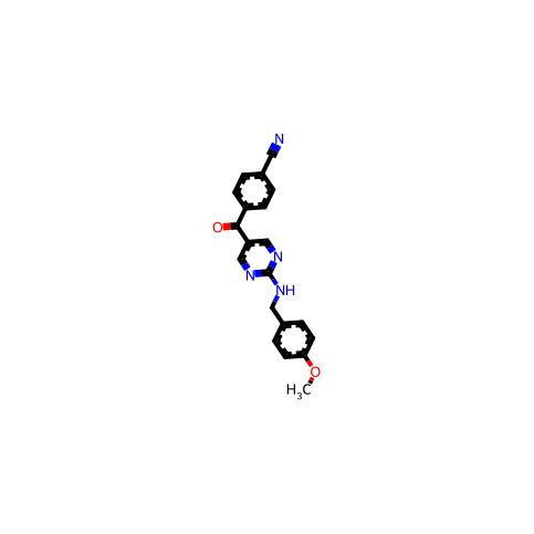 COc1ccc(CNc2ncc(C(=O)c3ccc(C#N)cc3)cn2)cc1